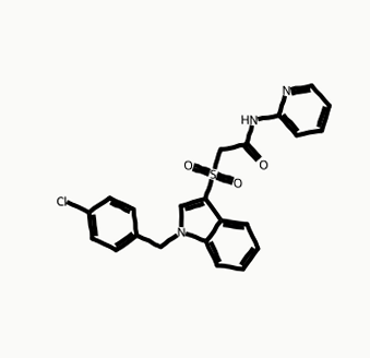 O=C(CS(=O)(=O)c1cn(Cc2ccc(Cl)cc2)c2ccccc12)Nc1ccccn1